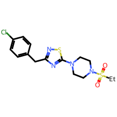 CCS(=O)(=O)N1CCN(c2nc(Cc3ccc(Cl)cc3)ns2)CC1